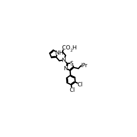 CC(C)Cc1sc(N(CCC(=O)O)Cc2ccc[nH]2)nc1-c1ccc(Cl)c(Cl)c1